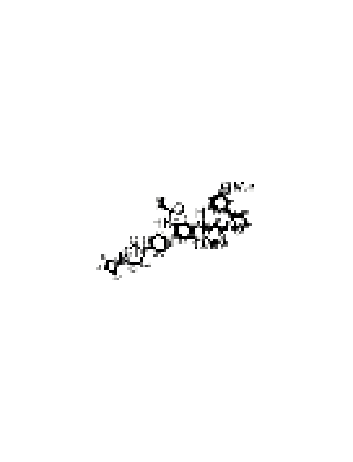 C=CC(=O)Nc1cc(Nc2cc(N3OCCC3c3cccc(OC)c3)ncn2)c(OC)cc1N1CCC(N2CCN(C3CCC3)CC2)CC1